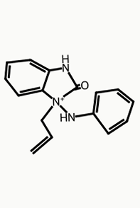 C=CC[N+]1(Nc2ccccc2)C(=O)Nc2ccccc21